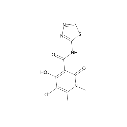 Cc1c(Cl)c(O)c(C(=O)Nc2nncs2)c(=O)n1C